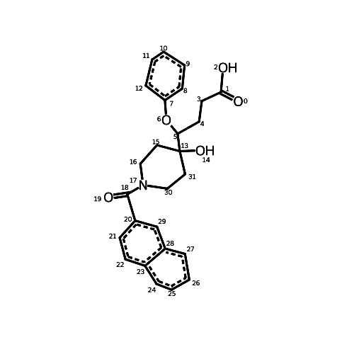 O=C(O)CCC(Oc1ccccc1)C1(O)CCN(C(=O)c2ccc3ccccc3c2)CC1